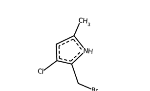 Cc1cc(Cl)c(CBr)[nH]1